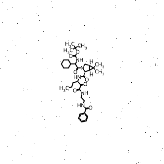 CCCC(NC(=O)[C@@H]1[C@H]2[C@@H](CN1C(=O)C(NC(=O)OC(C)(C)C)C1CCCCC1)C2(C)C)C(=O)C(=O)NCCNC(=O)c1ccccc1